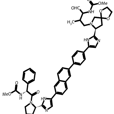 COC(=O)NC(C=O)C(C)CN1CC2(C[C@H]1c1ncc(-c3ccc(-c4ccc5cc(-c6cnc([C@@H]7CCCN7C(=O)[C@H](NC(=O)OC)c7ccccc7)[nH]6)ccc5c4)cc3)[nH]1)OCCO2